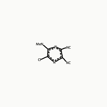 [C-]#[N+]c1nc(Cl)c(NC)nc1[N+]#[C-]